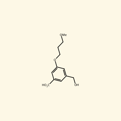 COCCCOc1cc(CO)cc(C(=O)O)c1